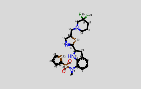 CN(c1cccc2c1NC(C1=NCC(CN3CCCC(F)(F)C3)S1)C2)S(=O)(=O)c1cccs1